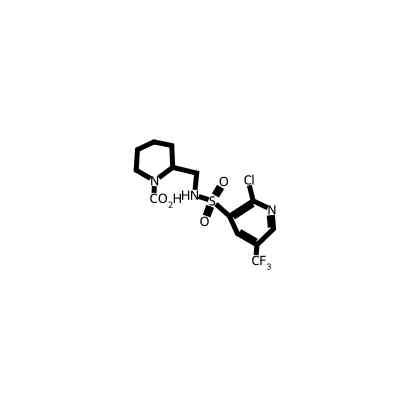 O=C(O)N1CCCCC1CNS(=O)(=O)c1cc(C(F)(F)F)cnc1Cl